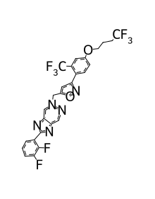 Fc1cccc(-c2nc3cnn(Cc4cc(-c5ccc(OCCCC(F)(F)F)cc5C(F)(F)F)no4)cc-3n2)c1F